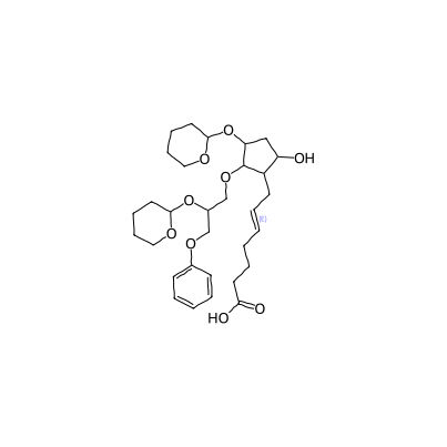 O=C(O)CCC/C=C/CC1C(O)CC(OC2CCCCO2)C1OCC(COc1ccccc1)OC1CCCCO1